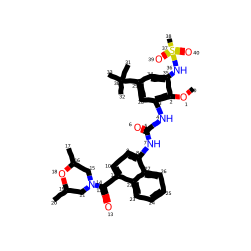 COc1c(NC(=O)Nc2ccc(C(=O)N3CC(C)OC(C)C3)c3ccccc23)cc(C(C)(C)C)cc1NS(C)(=O)=O